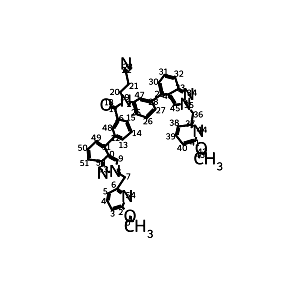 COc1cccc(Cn2cc3c(-c4cccc(C(=O)N(CCC#N)c5cccc(-c6cccc7nn(Cc8cccc(OC)n8)cc67)c5)c4)cccc3n2)n1